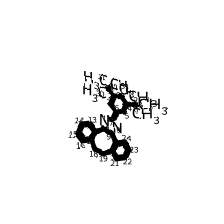 CC(C)(C)C1=CC(=C2N=C3C(=N2)c2ccccc2CCc2ccccc23)C=C(C(C)(C)C)C1=O